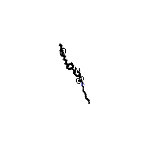 CCCCCC/C=C/C(=O)Oc1ccc(-c2ccc(CCCCCOCCC)cc2)nc1